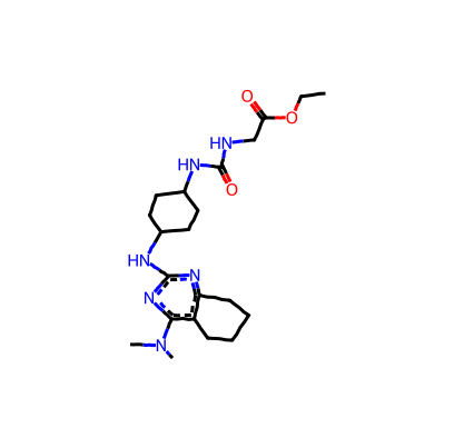 CCOC(=O)CNC(=O)NC1CCC(Nc2nc3c(c(N(C)C)n2)CCCC3)CC1